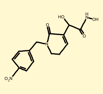 O=C(NO)C(O)C1=CCCN(Cc2ccc([N+](=O)[O-])cc2)C1=O